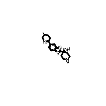 C[C@H]1CCC(c2ccc3sc(C4(O)CCN(C)CC4)nc3c2)=NC1